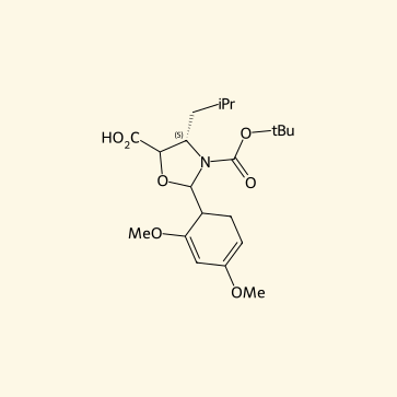 COC1=CCC(C2OC(C(=O)O)[C@H](CC(C)C)N2C(=O)OC(C)(C)C)C(OC)=C1